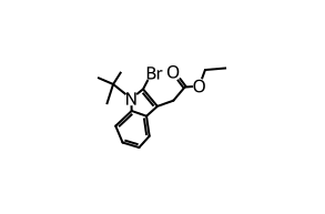 CCOC(=O)Cc1c(Br)n(C(C)(C)C)c2ccccc12